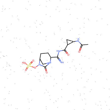 CC(=O)NC1CC1C(=O)NC(=N)C1CCC2CN1C(=O)N2OS(=O)(=O)O